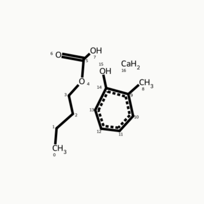 CCCCOC(=O)O.Cc1ccccc1O.[CaH2]